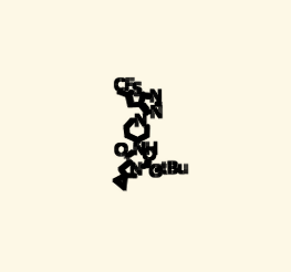 CC(C)(C)OC(=O)N1CC2(CC2)C[C@@H]1C(=O)NC1CCCN(c2ncnc3sc(CC(F)(F)F)cc23)CC1